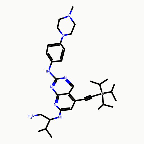 CC(C)C(CN)Nc1cc(C#C[Si](C(C)C)(C(C)C)C(C)C)c2cnc(Nc3ccc(N4CCN(C)CC4)cc3)nc2n1